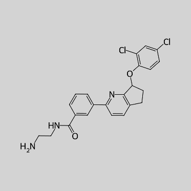 NCCNC(=O)c1cccc(-c2ccc3c(n2)C(Oc2ccc(Cl)cc2Cl)CC3)c1